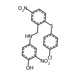 O=[N+]([O-])c1ccc(Sc2ccc(Cl)cc2)c(CNc2ccc(O)c([N+](=O)[O-])c2)c1